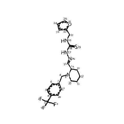 FC(F)(F)c1ccc(CN2CCCCC2C=NNC(=S)NCc2ccco2)cc1